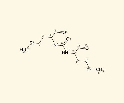 CSCCC([C]=O)NC(=O)NC([C]=O)CCSC